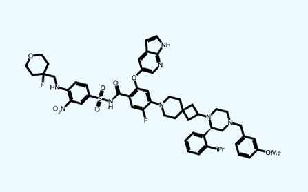 COc1cccc(CN2CCN(C3CC4(CCN(c5cc(Oc6cnc7[nH]ccc7c6)c(C(=O)NS(=O)(=O)c6ccc(NCC7(F)CCOCC7)c([N+](=O)[O-])c6)cc5F)CC4)C3)[C@H](c3ccccc3C(C)C)C2)c1